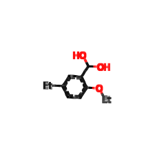 CCOc1ccc(CC)cc1C(O)O